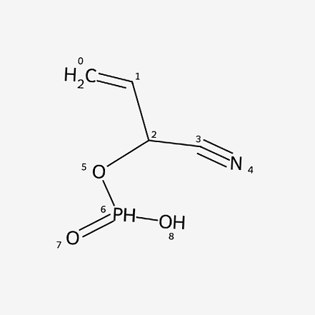 C=CC(C#N)O[PH](=O)O